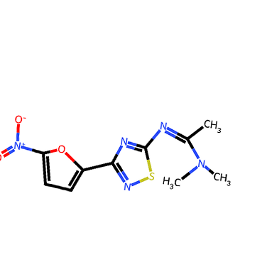 CC(=Nc1nc(-c2ccc([N+](=O)[O-])o2)ns1)N(C)C